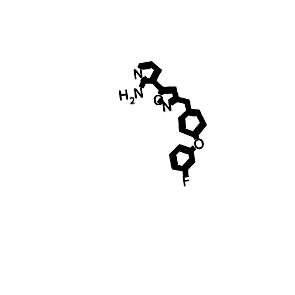 Nc1ncccc1-c1cc(Cc2ccc(Oc3cccc(F)c3)cc2)no1